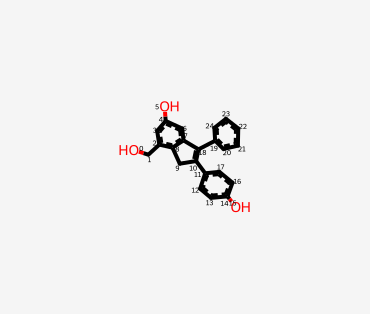 OCc1cc(O)cc2c1CC(c1ccc(O)cc1)=C2c1ccccc1